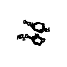 C1CCNCC1.CCl.O=C(O)c1ccon1